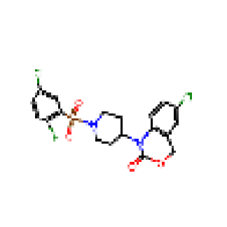 O=C1OCc2cc(Cl)ccc2N1C1CCN(S(=O)(=O)c2cc(Cl)ccc2F)CC1